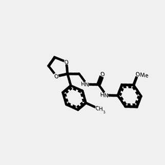 COc1cccc(NC(=O)NCC2(c3cccc(C)c3)OCCO2)c1